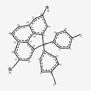 Cc1ccc(C2(c3ccc(C)cc3)c3cc(Br)cc4ccc5cc(Br)cc2c5c34)cc1